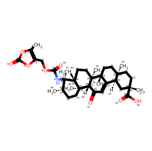 Cc1oc(=O)oc1COC(=O)N[C@@]1(C)[C@@H]2CC[C@]3(C)[C@H](C(=O)C=C4[C@@H]5C[C@@](C)(C(=O)O)CC[C@]5(C)CC[C@]43C)[C@@]2(C)CC[C@@H]1C